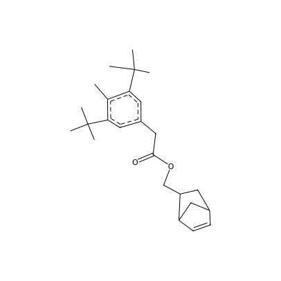 Cc1c(C(C)(C)C)cc(CC(=O)OCC2CC3C=CC2C3)cc1C(C)(C)C